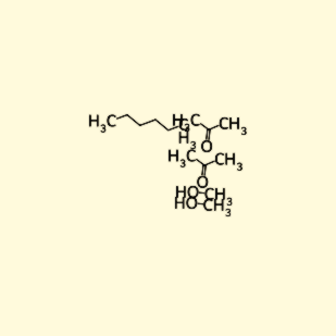 CC(C)=O.CC(C)=O.CCCCCC.CO.CO